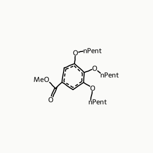 CCCCCOc1cc(C(=O)OC)cc(OCCCCC)c1OCCCCC